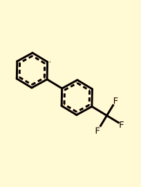 FC(F)(F)c1ccc(-c2[c]cccc2)cc1